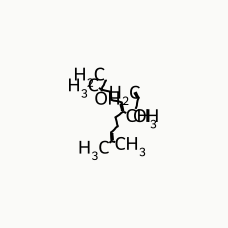 C=CC(C)(O)CCC=C(C)CCC=C(C)C.C=CCO